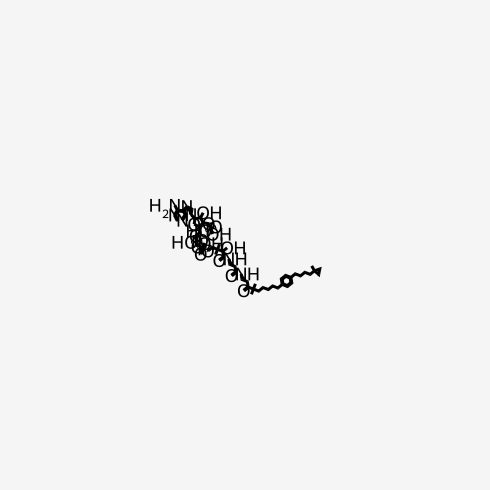 CC1(CCCCc2ccc(CCCCCC(C)(C)C(=O)CCNC(=O)CCNC(=O)C(O)C(C)(C)COP(=O)(O)OP(=O)(O)OCC3OC(n4cnc5c(N)ncnc54)C(O)C3OP(=O)(O)O)cc2)CC1